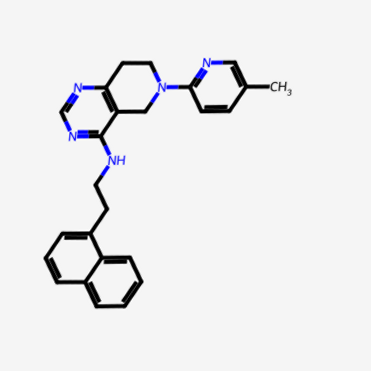 Cc1ccc(N2CCc3ncnc(NCCc4cccc5ccccc45)c3C2)nc1